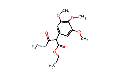 CCOC(=O)C(C(=O)CC)c1cc(OC)c(OC)c(OC)c1